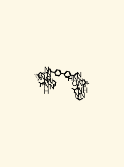 CC(C)[C@H](Nc1ncccn1)C(=O)N1[C@H](C)[C@H](C)C[C@H]1c1ncc(-c2ccc(-c3ccc(-c4cnc([C@@H]5C[C@@H](C)[C@@H](C)N5C(=O)[C@@H](Nc5ncccn5)C(C)C)[nH]4)cc3)cc2)[nH]1